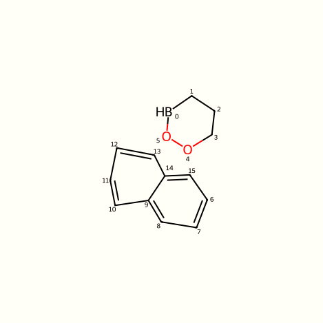 B1CCCOO1.c1ccc2ccccc2c1